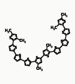 Cc1cc(C)c(-c2ccc(-c3ccc(-c4ccc(-c5sc(-c6cc(C)c(-c7ccc(-c8ccc(-c9ccc(-c%10sc(C)cc%10C)s9)s8)s7)s6)cc5C)s4)s3)s2)s1